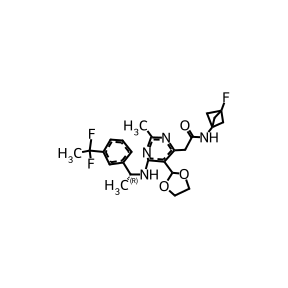 Cc1nc(CC(=O)NC23CC(F)(C2)C3)c(C2OCCO2)c(N[C@H](C)c2cccc(C(C)(F)F)c2)n1